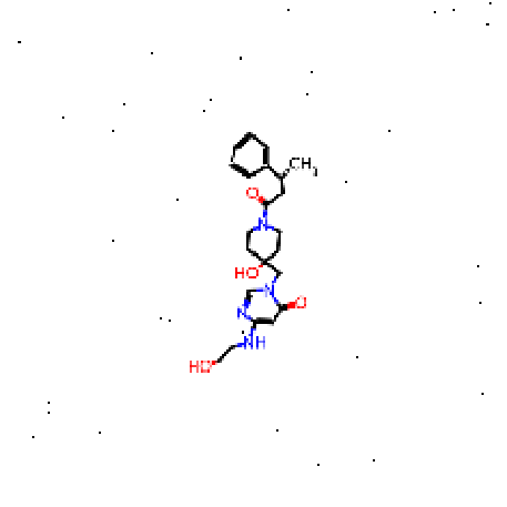 CC(CC(=O)N1CCC(O)(Cn2cnc(NCCO)cc2=O)CC1)c1ccccc1